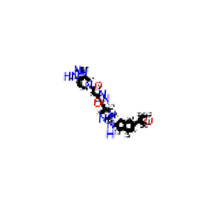 O=C(Cc1nnc(-c2cnc(NC3Cc4ccc(-c5ccoc5)cc4C3)nc2)o1)N1CCc2[nH]nnc2C1